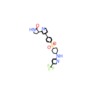 O=C1NCCC1c1cc(-c2ccc(S(=O)(=O)[C@H]3CC[C@H](Nc4ccc(C(F)(F)F)cn4)CC3)cc2)ccn1